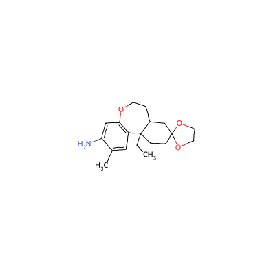 CCC12CCC3(CC1CCOc1cc(N)c(C)cc12)OCCO3